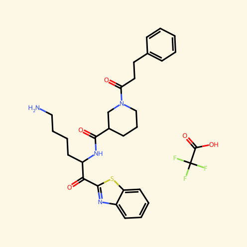 NCCCCC(NC(=O)C1CCCN(C(=O)CCc2ccccc2)C1)C(=O)c1nc2ccccc2s1.O=C(O)C(F)(F)F